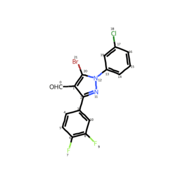 O=Cc1c(-c2ccc(F)c(F)c2)nn(-c2cccc(Cl)c2)c1Br